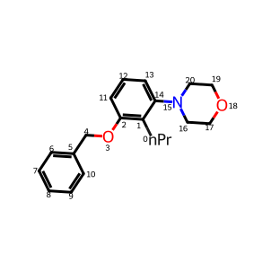 CCCc1c(OCc2ccccc2)cccc1N1CCOCC1